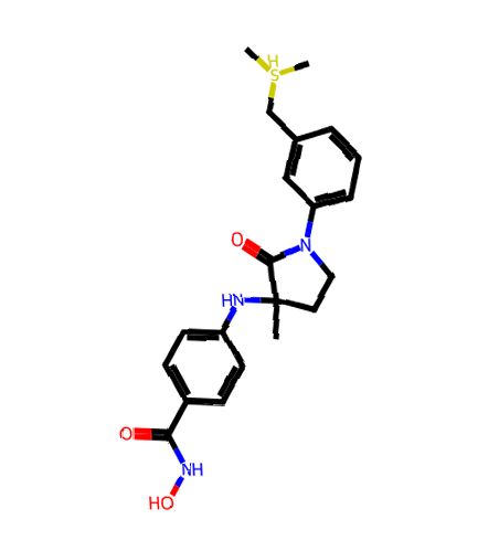 C[SH](C)Cc1cccc(N2CCC(C)(Nc3ccc(C(=O)NO)cc3)C2=O)c1